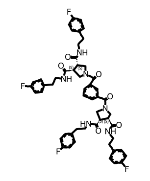 O=C(NCCc1ccc(F)cc1)[C@@H]1CN(C(=O)c2cccc(C(=O)N3C[C@@H](C(=O)NCCc4ccc(F)cc4)[C@H](C(=O)NCCc4ccc(F)cc4)C3)c2)C[C@H]1C(=O)NCCc1ccc(F)cc1